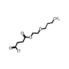 CCCCOCCOC(=O)CCC(=O)Cl